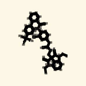 CCNC(=O)C(COC(=O)Cc1ccc(NC(=O)c2ccccc2-c2ccc(C(F)(F)F)cc2)c(Cl)c1)(C(=O)NCC)c1ccccc1